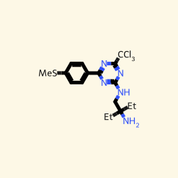 CCC(N)(CC)CNc1nc(-c2ccc(SC)cc2)nc(C(Cl)(Cl)Cl)n1